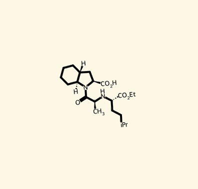 CCOC(=O)[C@H](CCC(C)C)N[C@@H](C)C(=O)N1[C@H](C(=O)O)C[C@H]2CCCC[C@@H]21